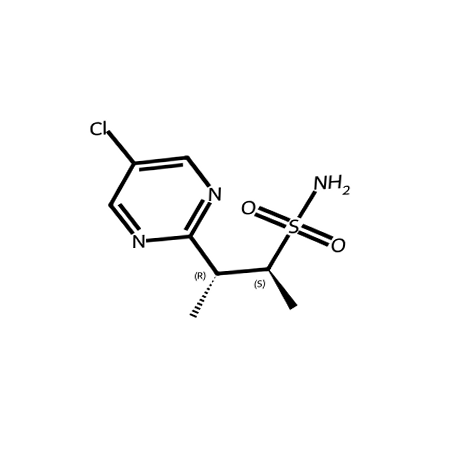 C[C@H](c1ncc(Cl)cn1)[C@H](C)S(N)(=O)=O